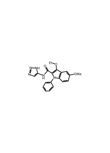 CCOc1c(C(=O)Nc2cnn[nH]2)n(-c2ccccc2)c2ccc(OC)cc12